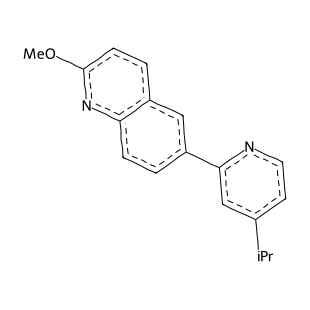 COc1ccc2cc(-c3cc(C(C)C)ccn3)ccc2n1